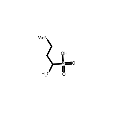 CNCCC(C)S(=O)(=O)O